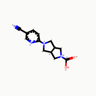 N#Cc1ccc(N2CC3CN(C(=O)O)CC3C2)nc1